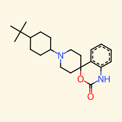 CC(C)(C)C1CCC(N2CCC3(CC2)OC(=O)Nc2ccccc23)CC1